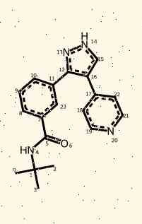 CC(C)(C)NC(=O)c1cccc(-c2n[nH]cc2-c2ccncc2)c1